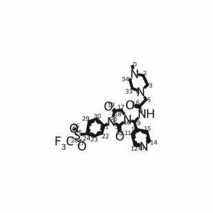 CN1CCN(CC(=O)NC(c2ccncc2)N2CC(=O)N(c3ccc(S(=O)(=O)C(F)(F)F)cc3)C2=O)CC1